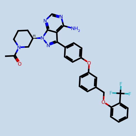 CC(=O)N1CCC[C@@H](n2nc(-c3ccc(Oc4cccc(COc5ccccc5C(F)(F)F)c4)cc3)c3c(N)ncnc32)C1